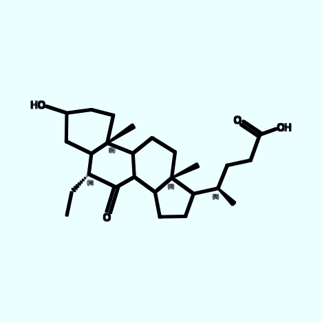 CC[C@H]1C(=O)C2C3CCC([C@H](C)CCC(=O)O)[C@@]3(C)CCC2[C@@]2(C)CCC(O)CC12